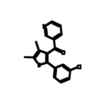 Cc1sc(-c2cccc(Cl)c2)c(C(=O)c2cccnc2)c1C